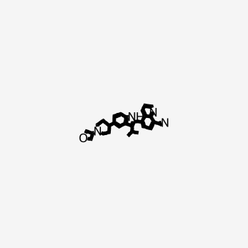 CC(C)c1c(-c2ccc(C#N)c3ncccc23)[nH]c2ccc(C3CCN(C4COC4)CC3)cc12